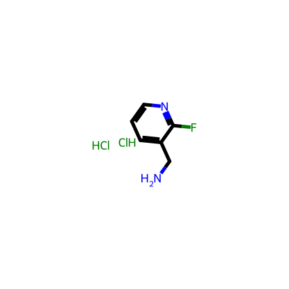 Cl.Cl.NCc1cccnc1F